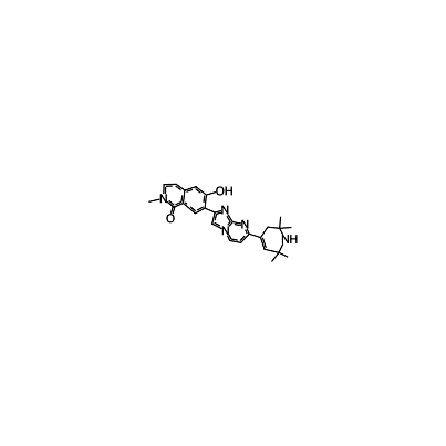 Cn1ccc2cc(O)c(-c3cn4ccc(C5=CC(C)(C)NC(C)(C)C5)nc4n3)cc2c1=O